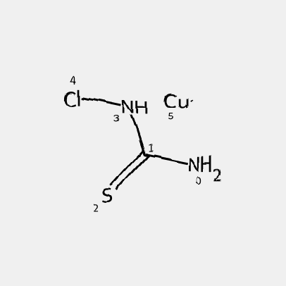 NC(=S)NCl.[Cu]